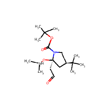 C[SiH](C)O[C@]1(CC=O)C[C@H](C(C)(C)C)CN1C(=O)OC(C)(C)C